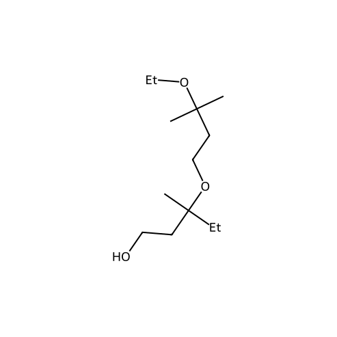 CCOC(C)(C)CCOC(C)(CC)CCO